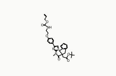 C=CCOC(=O)NCCOc1ccc(-c2csc(N(C)C(=O)C3(CC(=O)OC(C)(C)C)Cc4ccccc4C3)n2)cc1